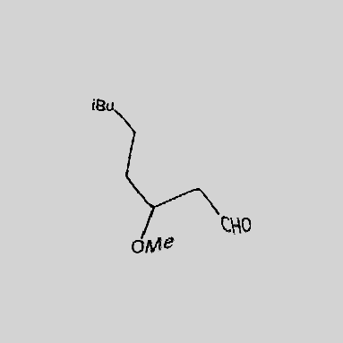 CCC(C)CCC(CC=O)OC